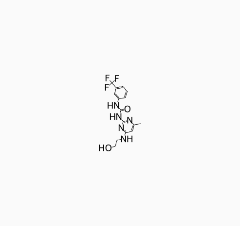 Cc1cc(NCCO)nc(NC(=O)Nc2cccc(C(F)(F)F)c2)n1